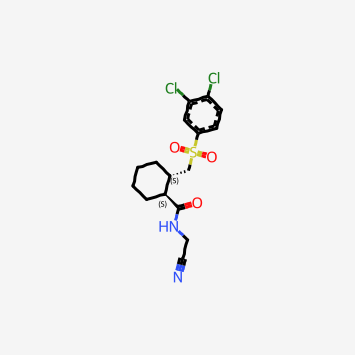 N#CCNC(=O)[C@H]1CCCC[C@@H]1CS(=O)(=O)c1ccc(Cl)c(Cl)c1